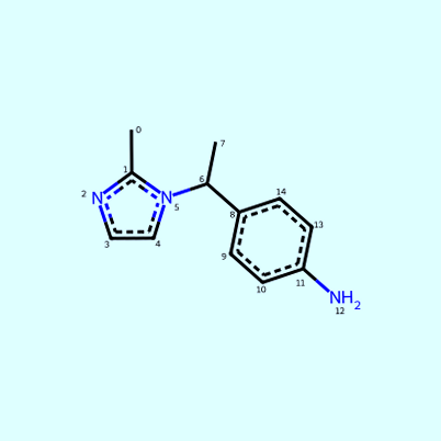 Cc1nccn1C(C)c1ccc(N)cc1